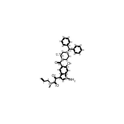 C=CCN(C)C(=O)C(=O)c1cn(N)c2cc(Cl)c(C(=O)N3CCN(C(c4ccccc4)c4ccccc4)C[C@H]3C)cc12